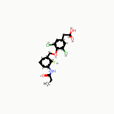 CCC(=O)Nc1cccc(COc2c(Cl)cc(CC(=O)O)cc2Cl)c1F